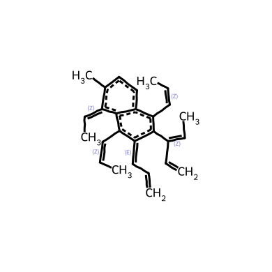 C=C/C=c1\c(/C(C=C)=C\C)c(/C=C\C)c2ccc(C)/c(=C/C)c2c1/C=C\C